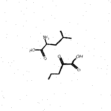 CC(C)CC(N)C(=O)O.CCCC(=O)C(=O)O